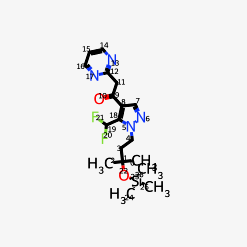 CC(C)(CCn1ncc(C(=O)Cc2ncccn2)c1C(F)F)O[Si](C)(C)C